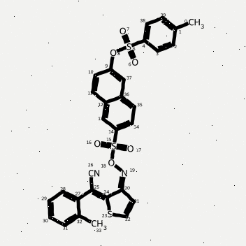 Cc1ccc(S(=O)(=O)Oc2ccc3cc(S(=O)(=O)O/N=C4/C=CS/C4=C(/C#N)c4ccccc4C)ccc3c2)cc1